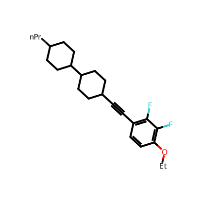 CCCC1CCC(C2CCC(C#Cc3ccc(OCC)c(F)c3F)CC2)CC1